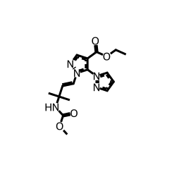 CCOC(=O)c1cnn(/C=C/C(C)(C)NC(=O)OC)c1-n1cccn1